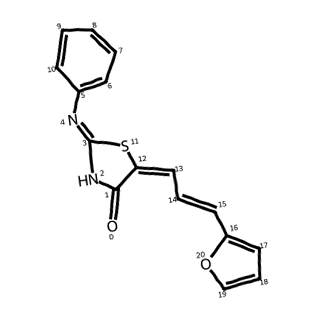 O=C1N/C(=N/c2ccccc2)S/C1=C/C=C/c1ccco1